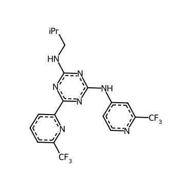 CC(C)CNc1nc(Nc2ccnc(C(F)(F)F)c2)nc(-c2cccc(C(F)(F)F)n2)n1